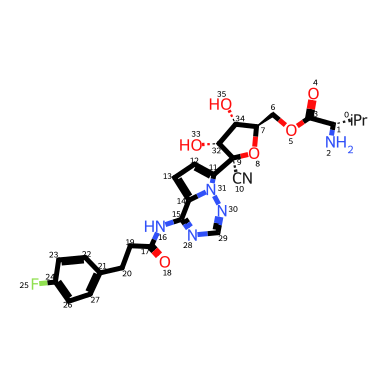 CC(C)[C@H](N)C(=O)OC[C@H]1O[C@@](C#N)(c2ccc3c(NC(=O)CCc4ccc(F)cc4)ncnn23)[C@H](O)[C@@H]1O